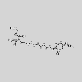 CCOC(=O)C(CCCCCCCCCCOc1ccc(OC)cc1Cl)C(C)=O